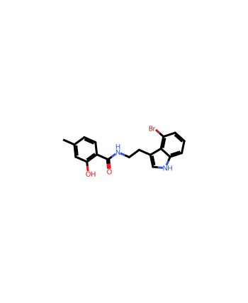 Cc1ccc(C(=O)NCCc2c[nH]c3cccc(Br)c23)c(O)c1